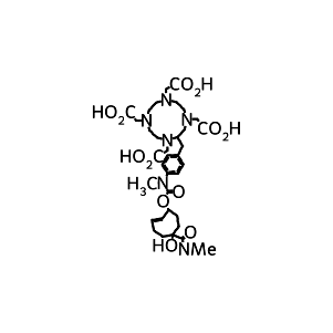 CNC(=O)[C@]1(O)CC/C=C/[C@H](OC(=O)N(C)c2ccc(CC3CN(CC(=O)O)CCN(CC(=O)O)CCN(CC(=O)O)CCN3CC(=O)O)cc2)CC1